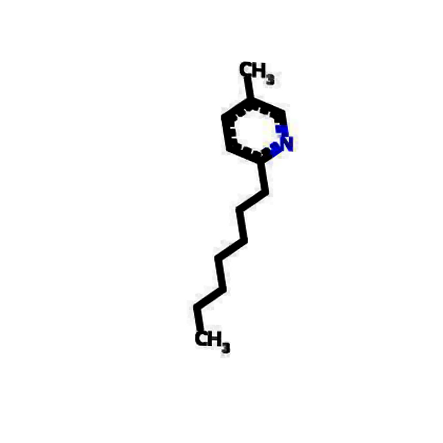 CCCCCCCc1ccc(C)cn1